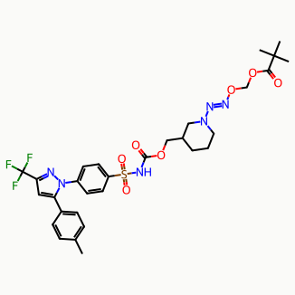 Cc1ccc(-c2cc(C(F)(F)F)nn2-c2ccc(S(=O)(=O)NC(=O)OCC3CCCN(N=NOCOC(=O)C(C)(C)C)C3)cc2)cc1